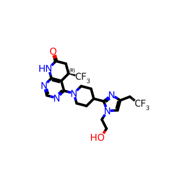 O=C1C[C@@H](C(F)(F)F)c2c(ncnc2N2CCC(c3nc(CC(F)(F)F)cn3CCO)CC2)N1